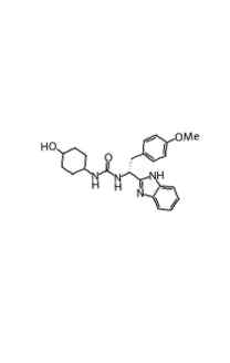 COc1ccc(C[C@@H](NC(=O)NC2CCC(O)CC2)c2nc3ccccc3[nH]2)cc1